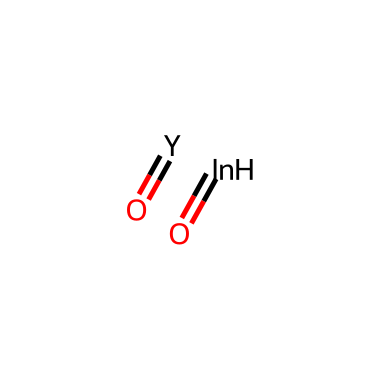 [O]=[InH].[O]=[Y]